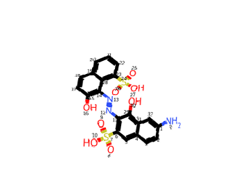 Nc1ccc2cc(S(=O)(=O)O)c(N=Nc3c(O)ccc4cccc(S(=O)(=O)O)c34)c(O)c2c1